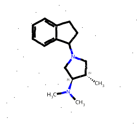 C[C@H]1CN(C2CCc3ccccc32)C[C@@H]1N(C)C